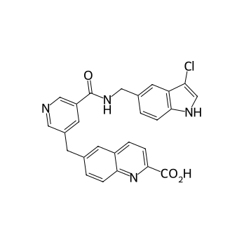 O=C(NCc1ccc2[nH]cc(Cl)c2c1)c1cncc(Cc2ccc3nc(C(=O)O)ccc3c2)c1